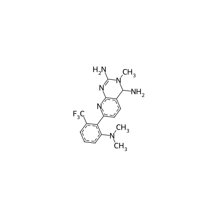 CN(C)c1cccc(C(F)(F)F)c1-c1ccc2c(n1)N=C(N)N(C)C2N